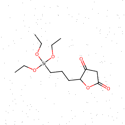 CCO[Si](CCCC1OC(=O)CC1=O)(OCC)OCC